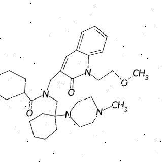 COCCn1c(=O)c(CN(CC2(N3CCN(C)CC3)CCCCC2)C(=O)C2CCCCC2)cc2ccccc21